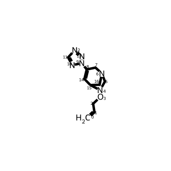 C=CCON1CN2CC(n3ncnn3)=CC1C2